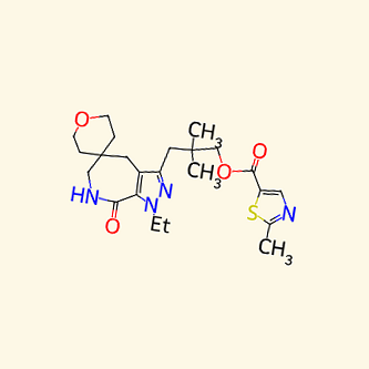 CCn1nc(CC(C)(C)COC(=O)c2cnc(C)s2)c2c1C(=O)NCC1(CCOCC1)C2